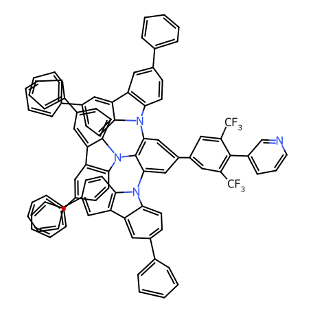 FC(F)(F)c1cc(-c2cc(-n3c4ccc(-c5ccccc5)cc4c4cc(-c5ccccc5)ccc43)c(-n3c4ccc(-c5ccccc5)cc4c4cc(-c5ccccc5)ccc43)c(-n3c4ccc(-c5ccccc5)cc4c4cc(-c5ccccc5)ccc43)c2)cc(C(F)(F)F)c1-c1cccnc1